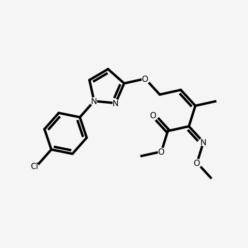 CO/N=C(C(=O)OC)/C(C)=C\COc1ccn(-c2ccc(Cl)cc2)n1